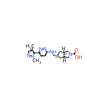 Cc1cnn(C)c1-c1ccc(NC[C@H]2C[C@@H]3CN(C(=O)O)C[C@@H]3C2)nn1